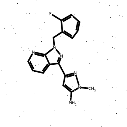 Cn1nc(-c2nn(Cc3ccccc3F)c3ncccc23)cc1N